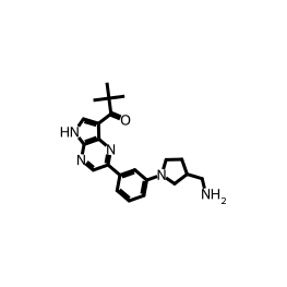 CC(C)(C)C(=O)c1c[nH]c2ncc(-c3cccc(N4CCC(CN)C4)c3)nc12